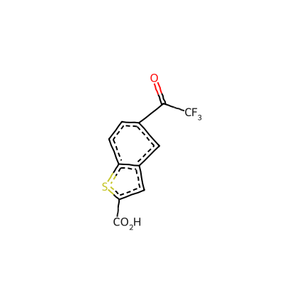 O=C(O)c1cc2cc(C(=O)C(F)(F)F)ccc2s1